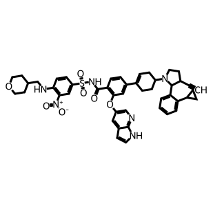 C#CC1CCN(C2CC=C(c3ccc(C(=O)NS(=O)(=O)c4ccc(NCC5CCOCC5)c([N+](=O)[O-])c4)c(Oc4cnc5[nH]ccc5c4)c3)CC2)C1c1ccccc1C1CC1